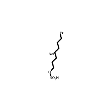 CC(C)CCCCCCCOS(=O)(=O)O.[NaH]